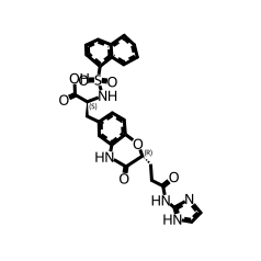 O=C(CC[C@H]1Oc2ccc(C[C@H](NS(=O)(=O)c3cccc4ccccc34)C(=O)O)cc2NC1=O)Nc1ncc[nH]1